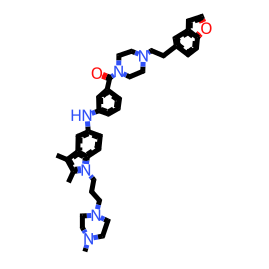 Cc1c(C)n(CCCN2CCN(C)CC2)c2ccc(Nc3cccc(C(=O)N4CCN(CCc5ccc6occc6c5)CC4)c3)cc12